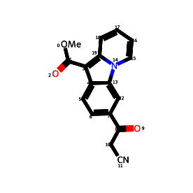 COC(=O)c1c2ccc(C(=O)CC#N)cc2n2ccccc12